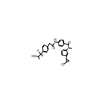 CC(O)C(F)(F)c1ccc(CC(=O)Nc2ccc(C(=O)N(C)c3cccc(C4CC4Cl)c3)cc2)cc1